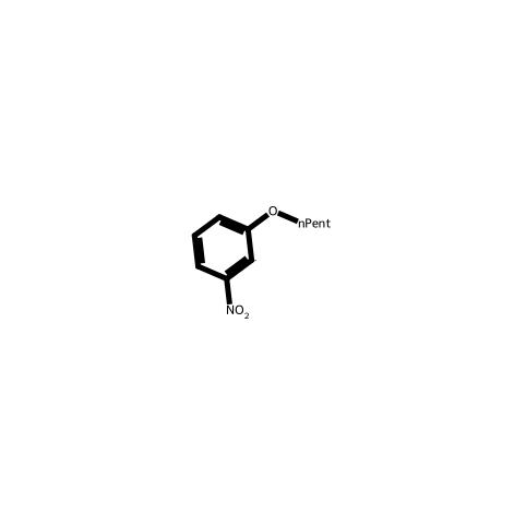 CCCCCOc1[c]c([N+](=O)[O-])ccc1